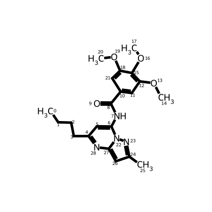 CCCCc1cc(NC(=O)c2cc(OC)c(OC)c(OC)c2)n2nc(C)cc2n1